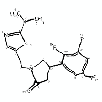 CN(C)c1ncc(CN2CC(c3cc(F)cc(F)c3F)CC2=O)s1